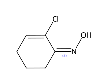 O/N=C1/CCCC=C1Cl